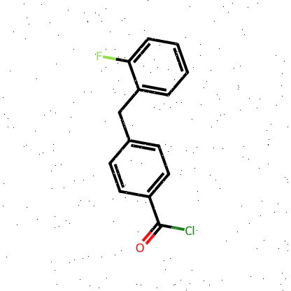 O=C(Cl)c1ccc(Cc2ccccc2F)cc1